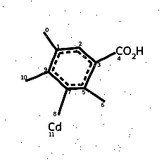 Cc1cc(C(=O)O)c(C)c(C)c1C.[Cd]